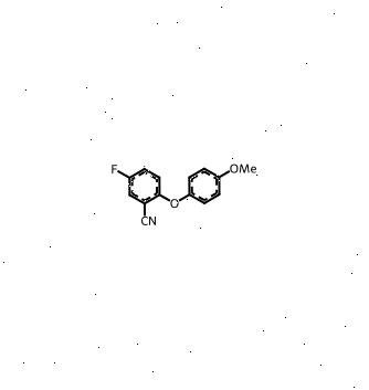 COc1ccc(Oc2c[c]c(F)cc2C#N)cc1